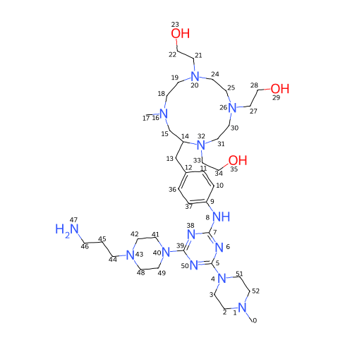 CN1CCN(c2nc(Nc3ccc(CC4CN(C)CCN(CCO)CCN(CCO)CCN4CCO)cc3)nc(N3CCN(CCCN)CC3)n2)CC1